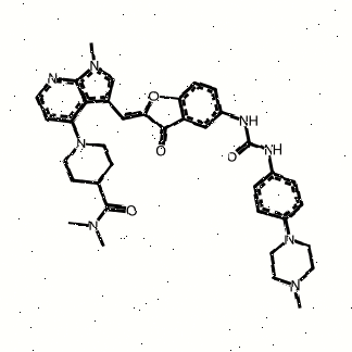 CN1CCN(c2ccc(NC(=O)Nc3ccc4c(c3)C(=O)C(=Cc3cn(C)c5nccc(N6CCC(C(=O)N(C)C)CC6)c35)O4)cc2)CC1